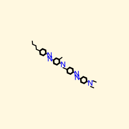 CCCCc1ccc(N=Nc2ccc(N=Cc3ccc(N=Nc4ccc(N(CC)CC)cc4)cc3)c(C)c2)cc1